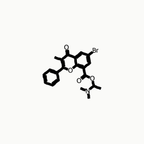 Cc1c(-c2ccccc2)oc2c(C(=O)OC(C)N(C)C)cc(Br)cc2c1=O